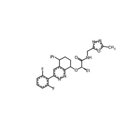 CC[C@@H](OC1CCC(C(C)C)c2cc(-c3c(F)cccc3F)nnc21)C(=O)NCc1nnc(C)o1